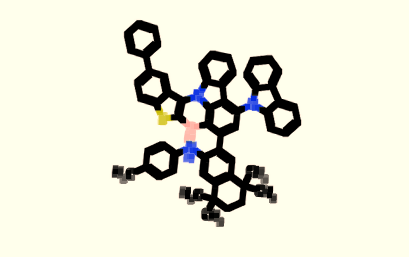 Cc1ccc(Nc2cc3c(cc2-c2cc(-n4c5ccccc5c5ccccc54)c4c5ccccc5n5c4c2Bc2sc4ccc(-c6ccccc6)cc4c2-5)C(C)(C)CCC3(C)C)cc1